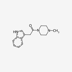 CN1CCN(C(=O)Cc2c[nH]c3ccccc23)CC1